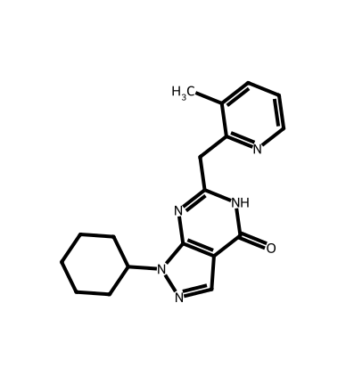 Cc1cccnc1Cc1nc2c(cnn2C2CCCCC2)c(=O)[nH]1